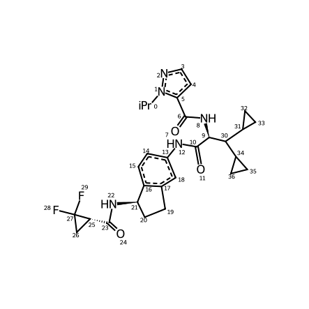 CC(C)n1nccc1C(=O)N[C@H](C(=O)Nc1ccc2c(c1)CC[C@H]2NC(=O)[C@@H]1CC1(F)F)C(C1CC1)C1CC1